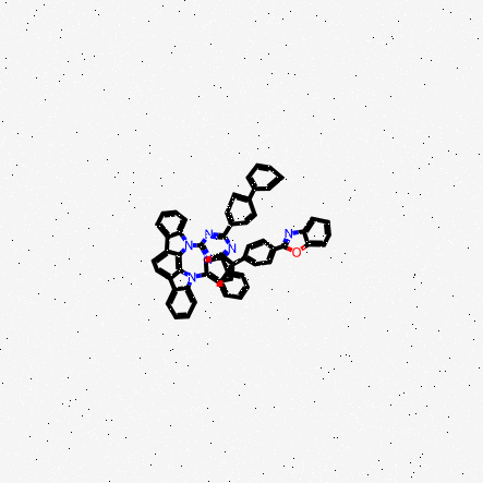 c1ccc(-c2ccc(-c3nc(-c4ccccc4)nc(-n4c5ccccc5c5ccc6c7ccccc7n(-c7ccc(-c8ccc(-c9nc%10ccccc%10o9)cc8)cc7)c6c54)n3)cc2)cc1